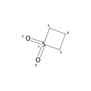 O=S1(=O)CCC1